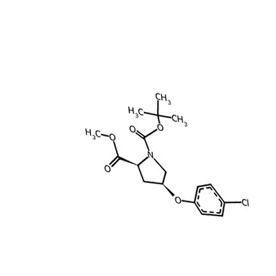 COC(=O)[C@@H]1C[C@H](Oc2ccc(Cl)cc2)CN1C(=O)OC(C)(C)C